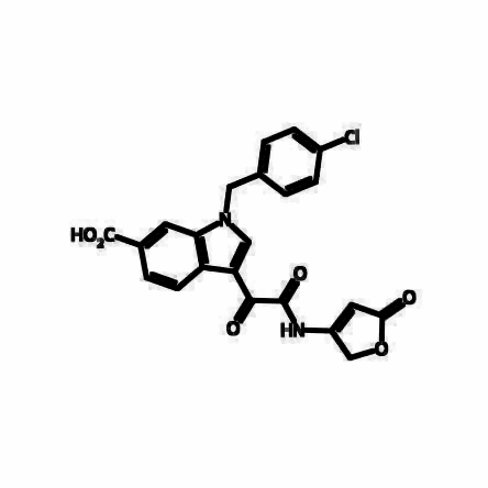 O=C1C=C(NC(=O)C(=O)c2cn(Cc3ccc(Cl)cc3)c3cc(C(=O)O)ccc23)CO1